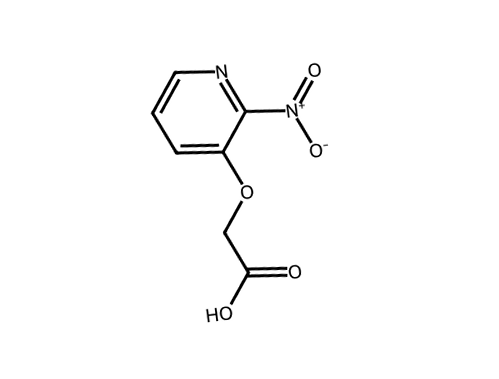 O=C(O)COc1cccnc1[N+](=O)[O-]